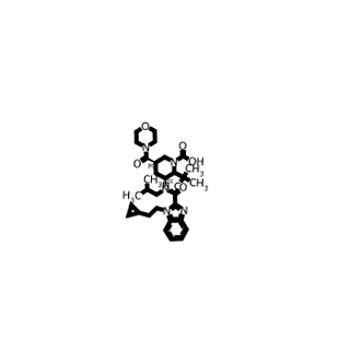 CC(C)CN(C(=O)c1nc2ccccc2n1CCC1CC1)[C@H]1C[C@@H](C(=O)N2CCOCC2)CN(C(=O)O)C1C(C)(C)C